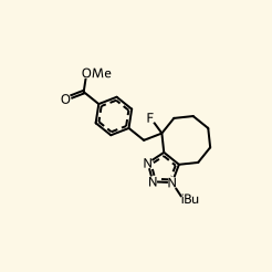 CCC(C)n1nnc2c1CCCCCC2(F)Cc1ccc(C(=O)OC)cc1